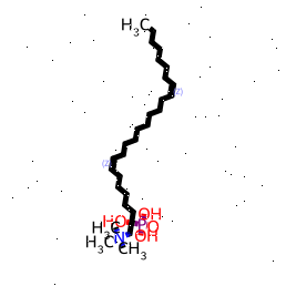 CCCCCCC/C=C\CCCCCCCC/C=C\CCCCCC(O)(C[N+](C)(C)C)P(=O)(O)O